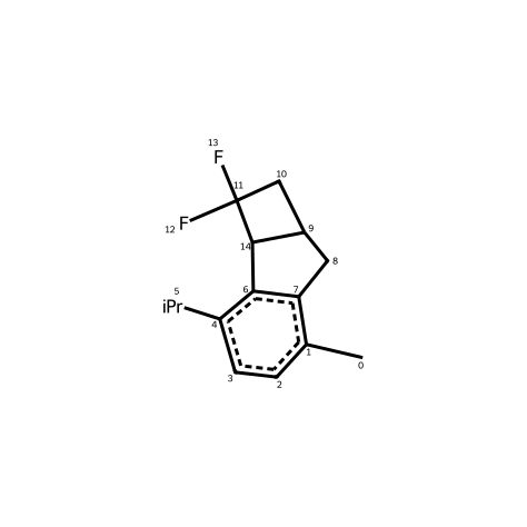 Cc1ccc(C(C)C)c2c1CC1CC(F)(F)C21